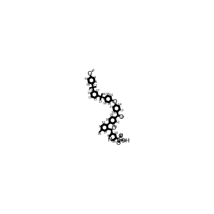 COc1ccc(C(C)(C)c2cccc(C(C)(C)c3ccc(Oc4ccc(C(=O)c5ccc(-c6ccc(C)cc6C(=O)c6cncc(S(=O)(=O)O)c6)cc5)cc4)cc3)c2)cc1